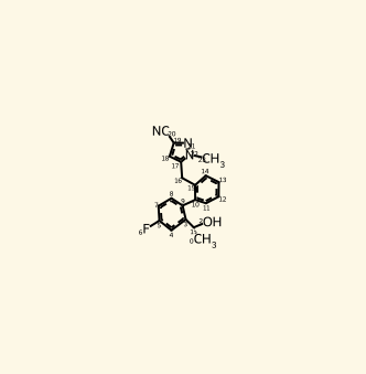 C[C@@H](O)c1cc(F)ccc1-c1ccccc1Cc1cc(C#N)nn1C